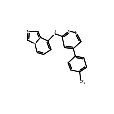 FC(F)(F)c1ccc(-c2cnnc(Nc3cccn4cncc34)c2)cc1